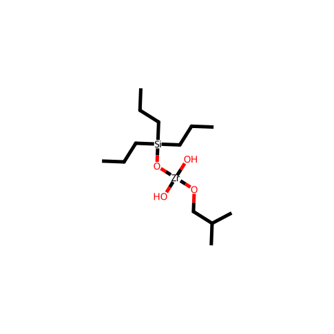 CCC[Si](CCC)(CCC)[O][Zr]([OH])([OH])[O]CC(C)C